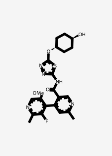 COc1cnc(C)c(F)c1-c1cc(C)ncc1C(=O)Nc1nnc(O[C@H]2CC[C@H](O)CC2)s1